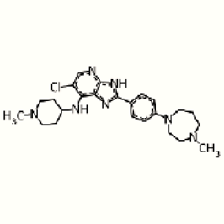 CN1CCC(Nc2c(Cl)cnc3[nH]c(-c4ccc(N5CCCN(C)CC5)cc4)nc23)CC1